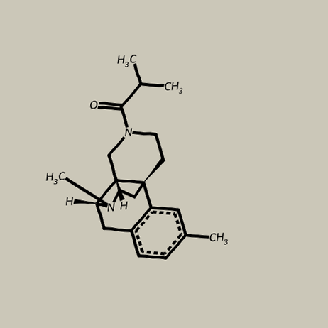 Cc1ccc2c(c1)[C@@]13CCN(C(=O)C(C)C)C[C@H]1[C@@H](C2)N(C)CC3